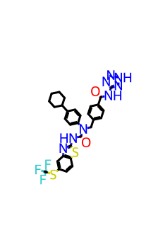 O=C(Nc1nn[nH]n1)c1ccc(CN(C(=O)Nc2nc3cc(SC(F)(F)F)ccc3s2)c2ccc(C3CCCCC3)cc2)cc1